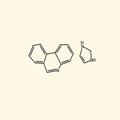 C1=CNCN1.c1ccc2c(c1)cnc1ccccc12